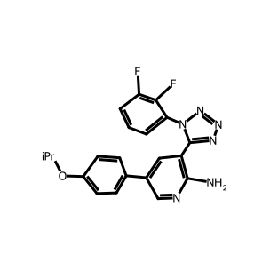 CC(C)Oc1ccc(-c2cnc(N)c(-c3nnnn3-c3cccc(F)c3F)c2)cc1